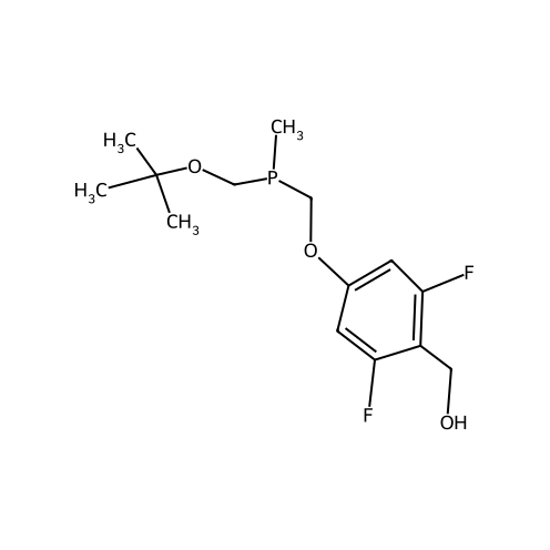 CP(COc1cc(F)c(CO)c(F)c1)COC(C)(C)C